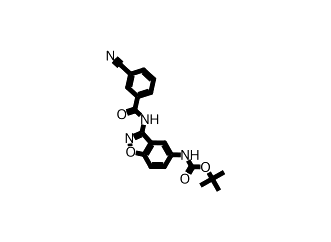 CC(C)(C)OC(=O)Nc1ccc2onc(NC(=O)c3cccc(C#N)c3)c2c1